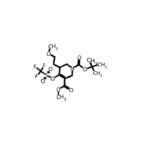 COCCC1CN(C(=O)OC(C)(C)C)CC(C(=O)OC)=C1OS(=O)(=O)C(F)(F)F